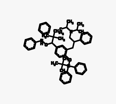 CC(C)N(CC(Cc1cc(C(O[SiH](c2ccccc2)c2ccccc2)C(C)(C)C)ccc1O[Si](c1ccccc1)(c1ccccc1)C(C)(C)C)c1ccccc1)C(C)C